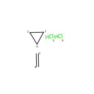 C1CC1.C=C.Cl.Cl